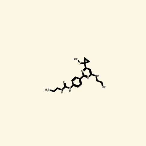 NCCNC(=O)Nc1ccc(-c2nc(NCCO)cc(C3(SO)CC3)n2)cc1